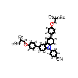 CCCCC(CC)COc1ccc(C2=Cc3c(n(-c4ccc(C#N)cc4)c4ccc(-c5ccc(OCC(CC)CCCC)cc5)cc34)CC2)cc1